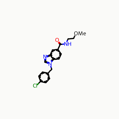 COCCNC(=O)c1ccc2c(c1)ncn2Cc1ccc(Cl)cc1